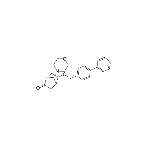 O=C1CC2C(OCc3ccc(-c4ccccc4)cc3)CC1C2N1CCOCC1